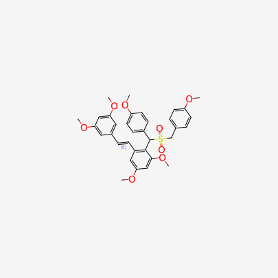 COc1ccc(CS(=O)(=O)C(c2ccc(OC)cc2)c2c(/C=C/c3cc(OC)cc(OC)c3)cc(OC)cc2OC)cc1